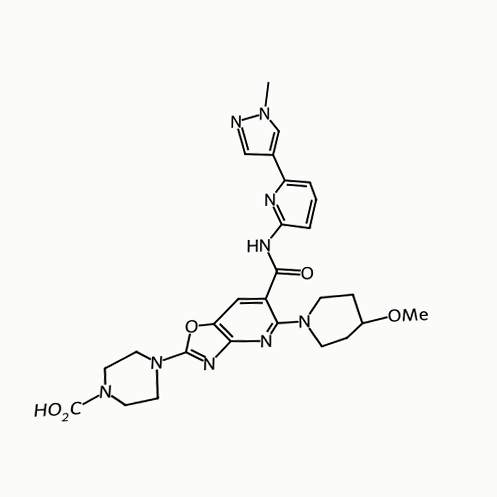 COC1CCN(c2nc3nc(N4CCN(C(=O)O)CC4)oc3cc2C(=O)Nc2cccc(-c3cnn(C)c3)n2)CC1